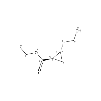 CCOC(=O)[C@@H]1C[C@H]1CCO